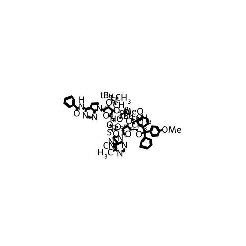 [C-]#[N+]CCOP(=S)(OC[C@H]1O[C@@H](n2ccc3c(NC(=O)c4ccccc4)ncnc32)[C@H](O[Si](C)(C)C(C)(C)C)[C@@H]1O[PH](=O)O)O[C@@H]1[C@H](O[Si](C)(C)C(C)(C)C)[C@@H](COC(c2ccccc2)(c2ccc(OC)cc2)c2ccc(OC)cc2)O[C@H]1n1cnc2c(C)ncnc21